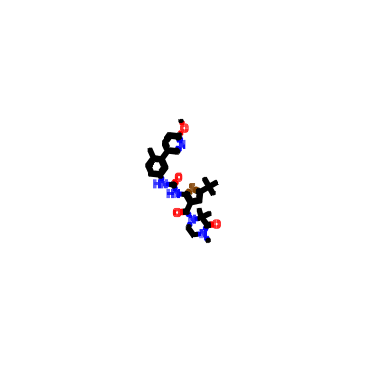 COc1ccc(-c2cc(NC(=O)Nc3sc(C(C)(C)C)cc3C(=O)N3CCN(C)C(=O)C3(C)C)ccc2C)cn1